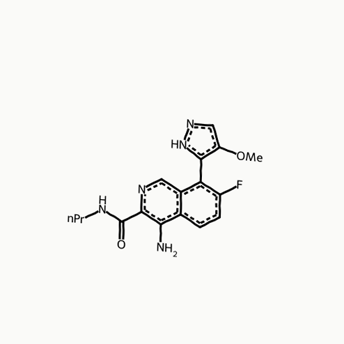 CCCNC(=O)c1ncc2c(-c3[nH]ncc3OC)c(F)ccc2c1N